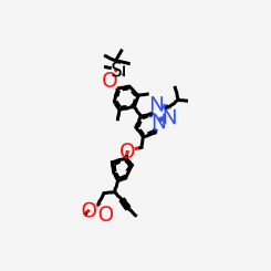 CC#CC(CC(=O)OC)c1ccc(OCc2cc(-c3c(C)cc(O[Si](C)(C)C(C)(C)C)cc3C)c3nc(C(C)C)nn3c2)cc1